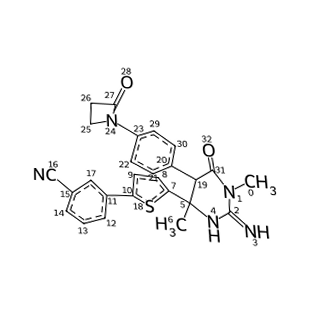 CN1C(=N)NC(C)(c2ccc(-c3cccc(C#N)c3)s2)C(c2ccc(N3CCC3=O)cc2)C1=O